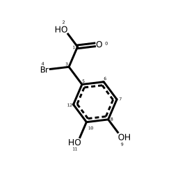 O=C(O)C(Br)c1ccc(O)c(O)c1